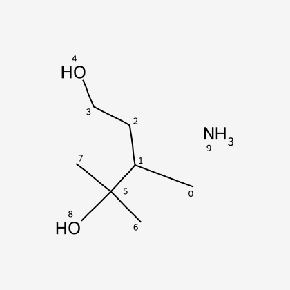 CC(CCO)C(C)(C)O.N